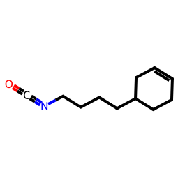 O=C=NCCCCC1CC=CCC1